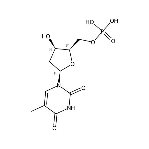 Cc1cn([C@H]2C[C@@H](O)[C@@H](COP(=O)(O)O)O2)c(=O)[nH]c1=O